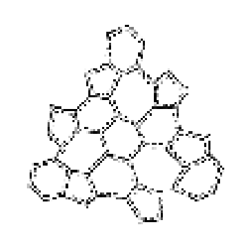 c1ccc2c(c1)sc1c3scc4c5cccc6sc7c8scc9c%10cccc%11sc%12c%13sccc%13c%13c(c21)c(c43)c(c7c65)c(c98)c%13c%12c%11%10